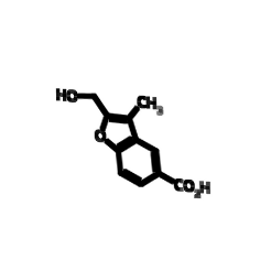 Cc1c(CO)oc2ccc(C(=O)O)cc12